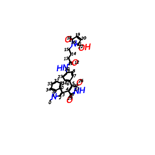 Cn1cc(C2=C(c3ccc(NC(=O)CCCN4C(=O)C=CC4O)cc3)C(=O)NC2=O)c2ccccc21